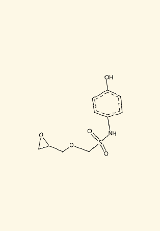 O=S(=O)(COCC1CO1)Nc1ccc(O)cc1